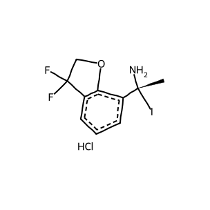 C[C@@](N)(I)c1cccc2c1OCC2(F)F.Cl